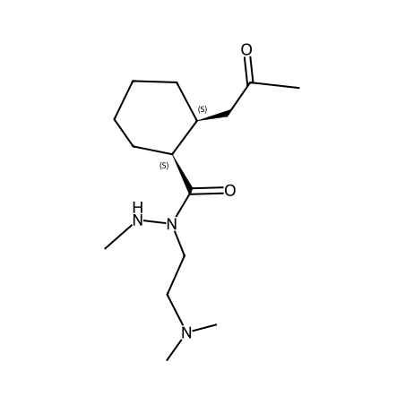 CNN(CCN(C)C)C(=O)[C@H]1CCCC[C@H]1CC(C)=O